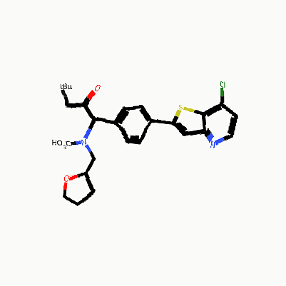 CC(C)(C)CC(=O)C(c1ccc(-c2cc3nccc(Cl)c3s2)cc1)N(CC1CCCO1)C(=O)O